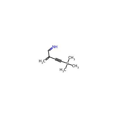 C=C(C#C[Si](C)(C)C)C=N